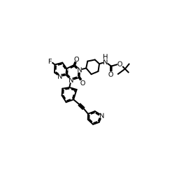 CC(C)(C)OC(=O)NC1CCC(n2c(=O)c3cc(F)cnc3n(-c3cccc(C#Cc4cccnc4)c3)c2=O)CC1